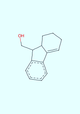 OCC1c2ccccc2C2=CCCCC21